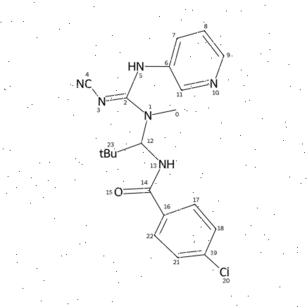 CN(/C(=N/C#N)Nc1cccnc1)C(NC(=O)c1ccc(Cl)cc1)C(C)(C)C